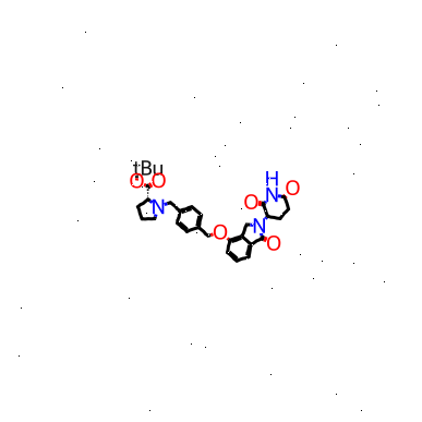 CC(C)(C)OC(=O)[C@H]1CCCN1Cc1ccc(COc2cccc3c2CN(C2CCC(=O)NC2=O)C3=O)cc1